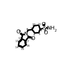 NS(=O)(=O)C1CCC(CN2C(=O)c3ccccc3C2=O)CC1